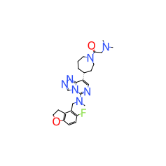 CN(C)CC(=O)N1CCC[C@@H](c2cnc(N(C)Cc3c(F)ccc4c3CCO4)n3cnnc23)CC1